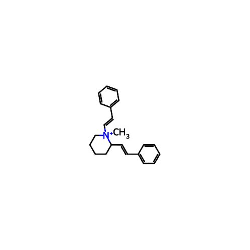 C[N+]1(C=Cc2ccccc2)CCCCC1C=Cc1ccccc1